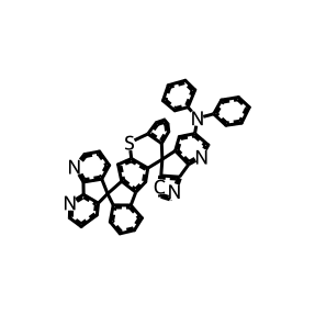 c1ccc(N(c2ccccc2)c2cnc3c(c2)C2(c4ccccc4Sc4cc5c(cc42)-c2ccccc2C52c4cccnc4-c4ncccc42)c2cccnc2-3)cc1